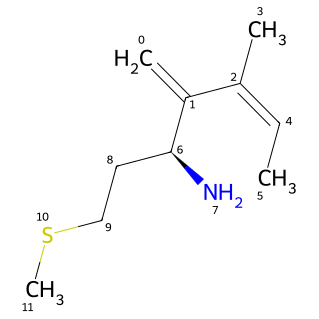 C=C(/C(C)=C\C)[C@@H](N)CCSC